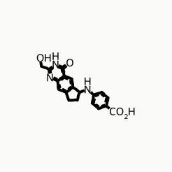 O=C(O)c1ccc(NC2CCc3cc4nc(CO)[nH]c(=O)c4cc32)cc1